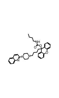 CCCCNC(=O)OC1(CCCCN2CCN(c3ccc4ccccc4n3)CC2)c2ccccc2Oc2ccccc21